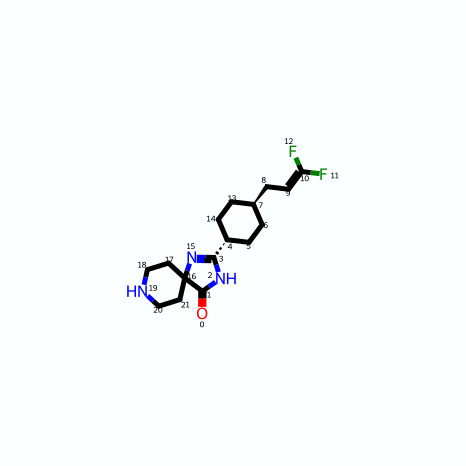 O=C1NC([C@H]2CC[C@H](CC=C(F)F)CC2)=NC12CCNCC2